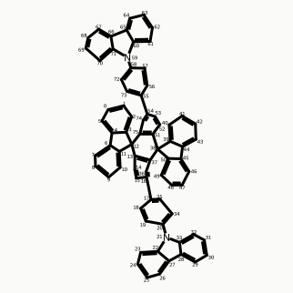 c1ccc2c(c1)-c1ccccc1C21c2ccc(-c3ccc(-n4c5ccccc5c5ccccc54)cc3)cc2C2(c3ccccc3-c3ccccc32)c2ccc(-c3ccc(-n4c5ccccc5c5ccccc54)cc3)cc21